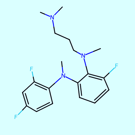 CN(C)CCCN(C)c1c(F)cccc1N(C)c1ccc(F)cc1F